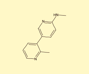 CNc1ccc(-c2cccnc2C)cn1